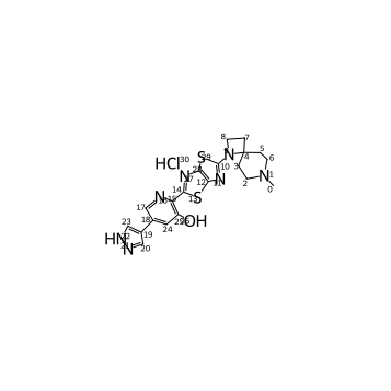 CN1CCC2(CC1)CCN2c1nc2sc(-c3ncc(-c4cn[nH]c4)cc3O)nc2s1.Cl